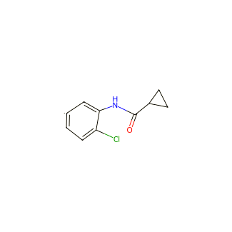 O=C(Nc1c[c]ccc1Cl)C1CC1